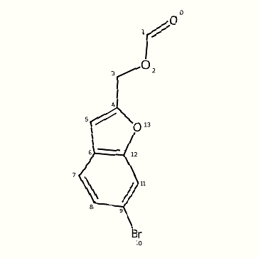 O=[C]OCc1cc2ccc(Br)cc2o1